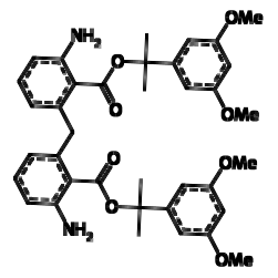 COc1cc(OC)cc(C(C)(C)OC(=O)c2c(N)cccc2Cc2cccc(N)c2C(=O)OC(C)(C)c2cc(OC)cc(OC)c2)c1